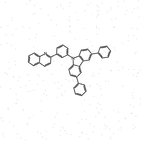 c1ccc(-c2ccc3c(c2)c2cc(-c4ccccc4)ccc2n3-c2cccc(-c3ccc4ccccc4n3)c2)cc1